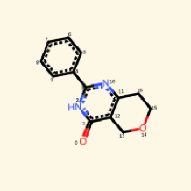 O=c1[nH]c(-c2ccccc2)nc2c1COCC2